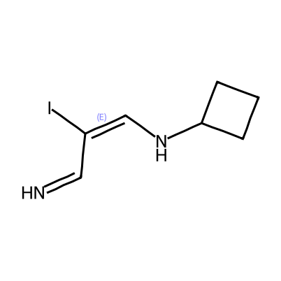 N=C/C(I)=C\NC1CCC1